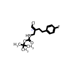 CC(C)(C)OC(=O)NC/C(=C/Cl)CCc1ccc(F)cc1